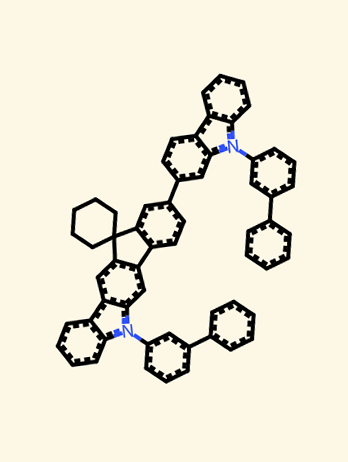 c1ccc(-c2cccc(-n3c4ccccc4c4ccc(-c5ccc6c(c5)C5(CCCCC5)c5cc7c8ccccc8n(-c8cccc(-c9ccccc9)c8)c7cc5-6)cc43)c2)cc1